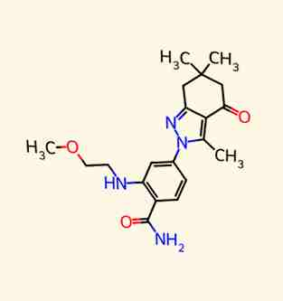 COCCNc1cc(-n2nc3c(c2C)C(=O)CC(C)(C)C3)ccc1C(N)=O